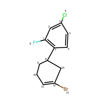 Fc1cc(Cl)ccc1C1CCC=C(Br)C1